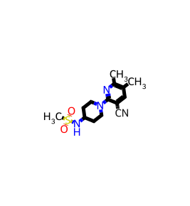 Cc1cc(C#N)c(N2CCC(NS(C)(=O)=O)CC2)nc1C